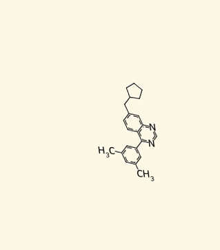 Cc1cc(C)cc(-c2ncnc3cc(CC4CCCC4)ccc23)c1